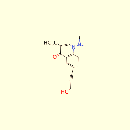 CN(C)n1cc(C(=O)O)c(=O)c2cc(C#CCO)ccc21